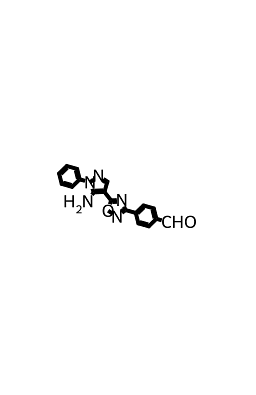 Nc1c(-c2nc(-c3ccc(C=O)cc3)no2)cnn1-c1ccccc1